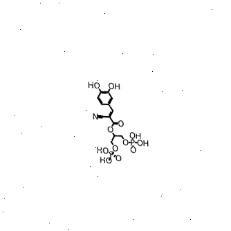 N#C/C(=C\c1ccc(O)c(O)c1)C(=O)OC(COP(=O)(O)O)COP(=O)(O)O